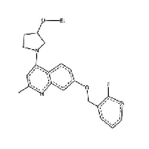 CCOC1CCN(c2cc(C)nc3cc(OCc4cccnc4F)ccc23)C1